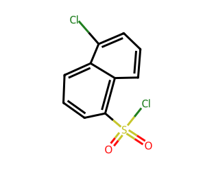 O=S(=O)(Cl)c1cccc2c(Cl)cccc12